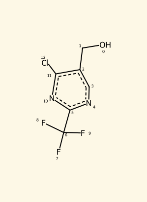 OCc1cnc(C(F)(F)F)nc1Cl